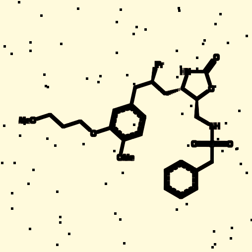 COCCCOc1cc(C[C@H](C[C@@H]2NC(=O)O[C@H]2CNS(=O)(=O)Cc2ccccc2)C(C)C)ccc1OC